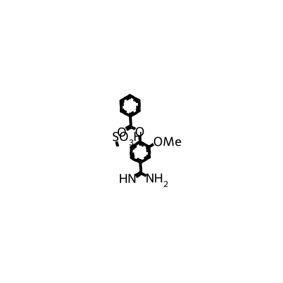 COc1cc(C(=N)N)ccc1OC(=O)c1ccccc1.CS(=O)(=O)O